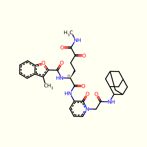 CNC(=O)C(=O)CC[C@H](NC(=O)c1oc2ccccc2c1C)C(=O)Nc1cccn(CC(=O)NC2C3CC4CC(C3)CC2C4)c1=O